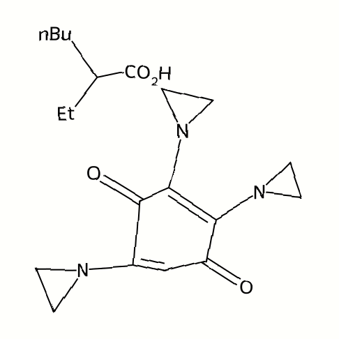 CCCCC(CC)C(=O)O.O=C1C=C(N2CC2)C(=O)C(N2CC2)=C1N1CC1